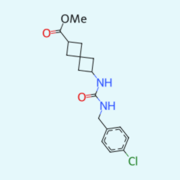 COC(=O)C1CC2(CC(NC(=O)NCc3ccc(Cl)cc3)C2)C1